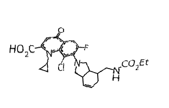 CCOC(=O)NCC1CC=CC2CN(c3c(F)cc4c(=O)cc(C(=O)O)n(C5CC5)c4c3Cl)CC21